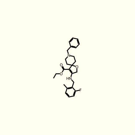 CCOC(=O)C1=C(NCc2c(C)cccc2F)COC12CCN(Cc1ccccc1)CC2